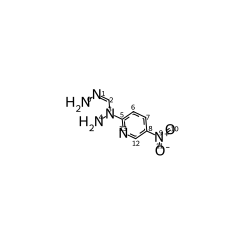 N/N=C\N(N)c1ccc([N+](=O)[O-])cn1